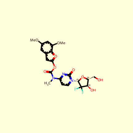 COc1cc(OC)c2oc(OC(=O)N(C)c3ccn([C@@H]4O[C@H](CO)[C@@H](O)C4(F)F)c(=O)n3)cc2c1